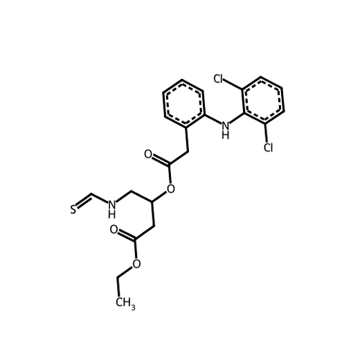 CCOC(=O)CC(CNC=S)OC(=O)Cc1ccccc1Nc1c(Cl)cccc1Cl